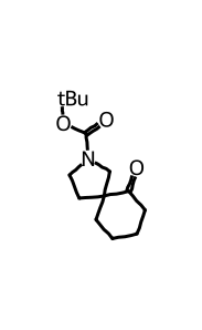 CC(C)(C)OC(=O)N1CCC2(CCCCC2=O)C1